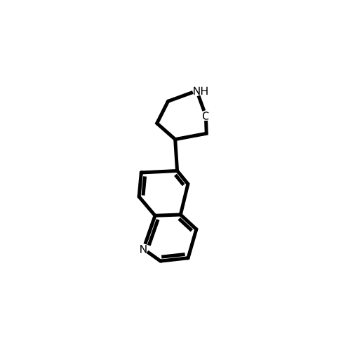 c1cnc2ccc(C3CCNCC3)cc2c1